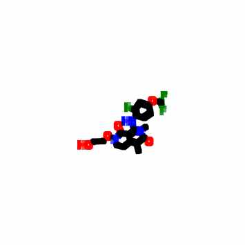 Cc1c2c(c(Nc3ccc(OC(F)F)cc3F)n(C)c1=O)C(=O)N(OCCO)CC2